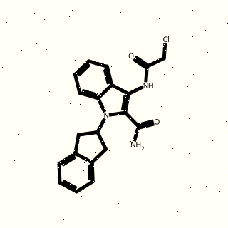 NC(=O)c1c(NC(=O)CCl)c2ccccc2n1C1Cc2ccccc2C1